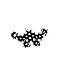 CC1c2cc3c4cc(-c5ncccn5)ccc4n(-c4cccnc4)c3c3c2-c2c(cc4c5cc(-c6ncccn6)ccc5n(-c5cccnc5)c4c2C(C)C3C)C1C